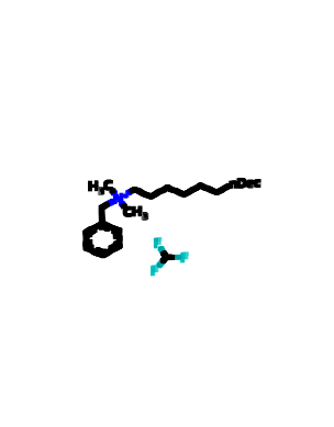 CCCCCCCCCCCCCCCC[N+](C)(C)Cc1ccccc1.FC(F)F